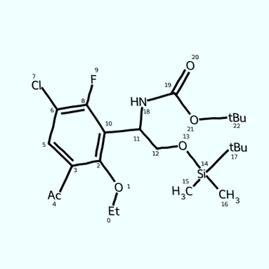 CCOc1c(C(C)=O)cc(Cl)c(F)c1C(CO[Si](C)(C)C(C)(C)C)NC(=O)OC(C)(C)C